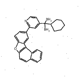 BC(B)(c1ccnc(-c2ccc3oc4ccc5ccccc5c4c3c2)c1)C1CCCCC1